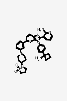 Nc1ncccc1-c1nc2ccc(-c3cccc(N4CCC(N5CCCS5(=O)=O)CC4)c3)nc2n1-c1ccc(C2(N)CCC2)cc1